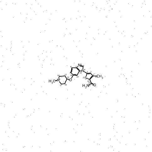 Cc1cc(-n2cnc3ccc(OC4CCN(C)CC4)cc32)sc1C(N)=O